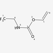 C=COC(=O)NCC(F)(F)F